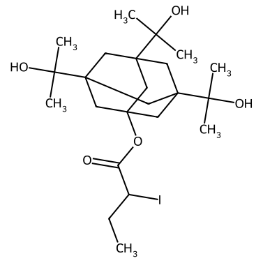 CCC(I)C(=O)OC12CC3(C(C)(C)O)CC(C(C)(C)O)(C1)CC(C(C)(C)O)(C2)C3